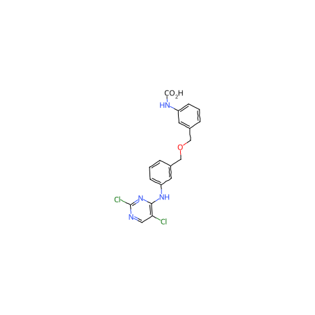 O=C(O)Nc1cccc(COCc2cccc(Nc3nc(Cl)ncc3Cl)c2)c1